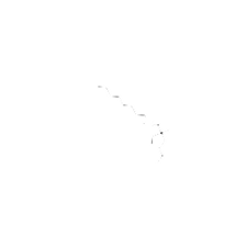 CCCCCCCCOC(=O)C(C)(CC)CCCC